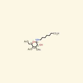 CC(=O)OC[C@H]1O[C@@H](NCCCCCCC(=O)O)[C@H](O)[C@@H](OC(C)=O)[C@H]1OC(C)=O